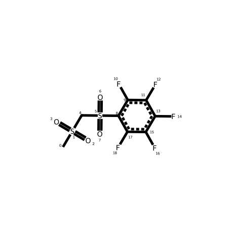 CS(=O)(=O)CS(=O)(=O)c1c(F)c(F)c(F)c(F)c1F